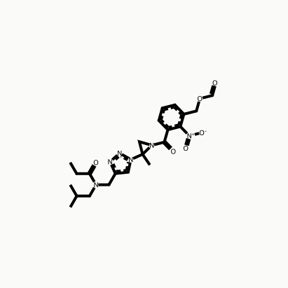 CCC(=O)N(Cc1cn(C2(C)CN2C(=O)c2cccc(COC=O)c2[N+](=O)[O-])nn1)CC(C)C